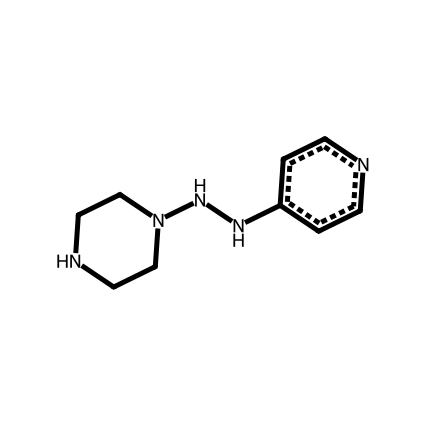 c1cc(NNN2CCNCC2)ccn1